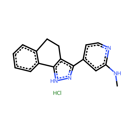 CNc1cc(-c2n[nH]c3c2CCc2ccccc2-3)ccn1.Cl